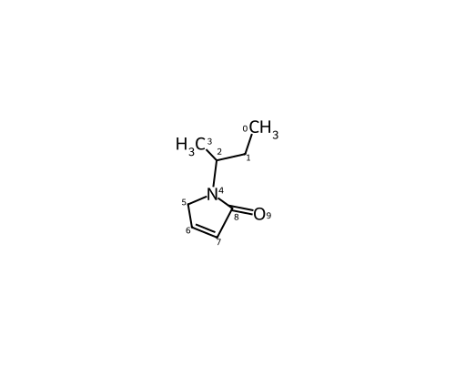 CCC(C)N1CC=CC1=O